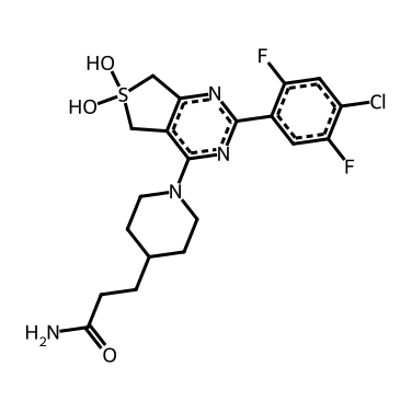 NC(=O)CCC1CCN(c2nc(-c3cc(F)c(Cl)cc3F)nc3c2CS(O)(O)C3)CC1